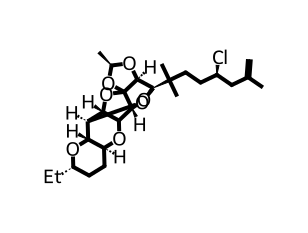 C=C(C)C[C@H](Cl)CCC(C)(C)[C@]12O[C@H]3[C@H]4O[C@@H](CC)CC[C@@H]4OC4[C@H]3OC3(O[C@@H](C)O[C@H]31)[C@@H]4O2